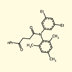 CCCC(=O)CCC(=O)N(c1cc(CC)cc(CC)c1)c1c(C)cc(C)cc1C